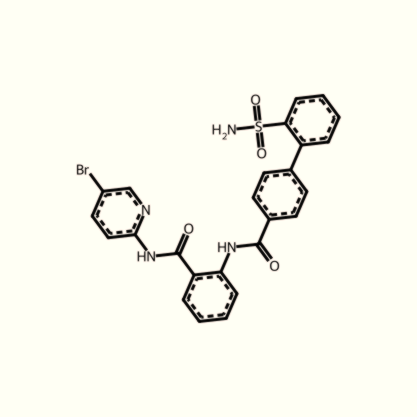 NS(=O)(=O)c1ccccc1-c1ccc(C(=O)Nc2ccccc2C(=O)Nc2ccc(Br)cn2)cc1